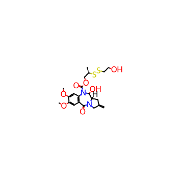 C=C1C[C@H]2C(O)N(C(=O)OC[C@@H](C)SSCCO)c3cc(OC)c(OC)cc3C(=O)N2C1